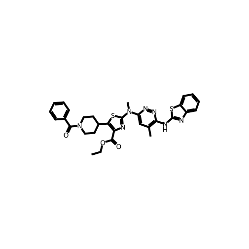 CCOC(=O)c1nc(N(C)c2cc(C)c(Nc3nc4ccccc4s3)nn2)sc1C1CCN(C(=O)c2ccccc2)CC1